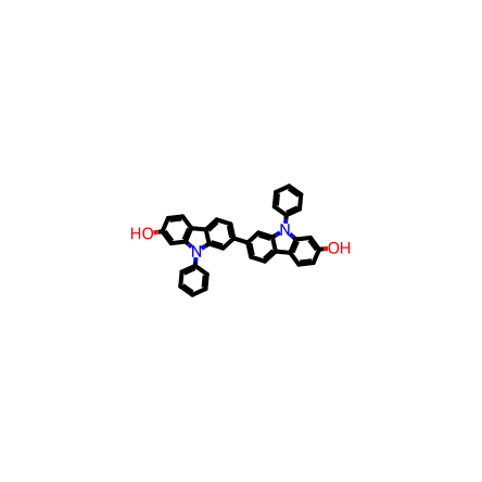 Oc1ccc2c3ccc(-c4ccc5c6ccc(O)cc6n(-c6ccccc6)c5c4)cc3n(-c3ccccc3)c2c1